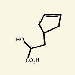 O=C(O)C(O)CC1CC=CC1